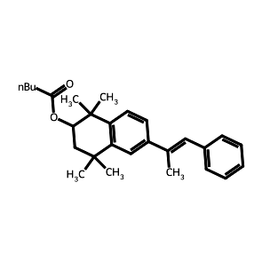 CCCCC(=O)OC1CC(C)(C)c2cc(C(C)=Cc3ccccc3)ccc2C1(C)C